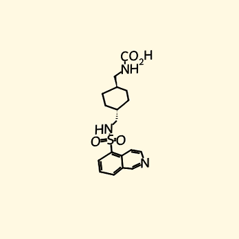 O=C(O)NC[C@H]1CC[C@H](CNS(=O)(=O)c2cccc3cnccc23)CC1